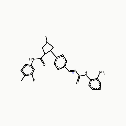 Cc1ccc(NC(=O)C2CN(C)CC2c2ccc(/C=C/C(=O)Nc3ccccc3N)cc2)cc1F